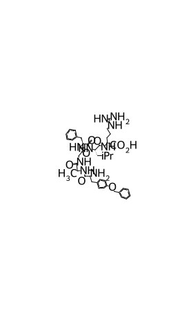 CC(C)C[C@H](NC(=O)[C@H](Cc1ccccc1)NC(=O)CNC(=O)[C@H](C)NC(=O)[C@@H](N)Cc1ccc(OCc2ccccc2)cc1)C(=O)N[C@@H](CCCNC(=N)N)C(=O)O